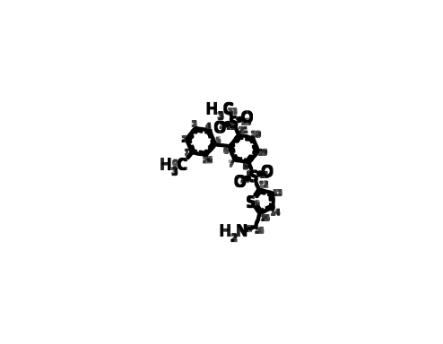 Cc1cccc(-c2cc(S(=O)(=O)c3ccc(CN)s3)ccc2S(C)(=O)=O)c1